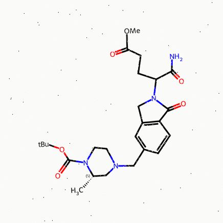 COC(=O)CCC(C(N)=O)N1Cc2cc(CN3CCN(C(=O)OC(C)(C)C)[C@@H](C)C3)ccc2C1=O